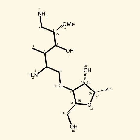 CO[C@@H](CN)C(O)C(C)C(N)COC1[C@@H](CO)O[C@@H](C)[C@H]1O